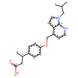 CC(C)Cn1ccc2c(COc3ccc(C(C)CC(=O)O)cc3)ccnc21